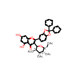 CC(=O)OC[C@H]1OC(c2c(-c3ccc4c(c3)OC(c3ccccc3)(c3ccccc3)O4)oc3cc(O)cc(O)c3c2=O)[C@H](OC(C)=O)[C@@H](OC(C)=O)[C@H]1OC(C)=O